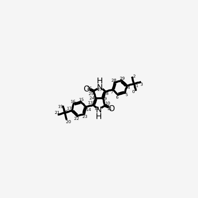 CC(C)(C)c1ccc(C2=C3C(=O)NC(c4ccc(C(C)(C)C)cc4)=C3C(=O)N2)cc1